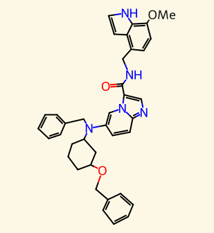 COc1ccc(CNC(=O)c2cnc3ccc(N(Cc4ccccc4)C4CCCC(OCc5ccccc5)C4)cn23)c2cc[nH]c12